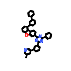 Cc1cncc(-c2cccc(-c3nc(-c4ccccc4)nc(-c4ccc5c(c4)oc4cccc(-c6cccc(-c7ccccc7)c6)c45)n3)c2)c1